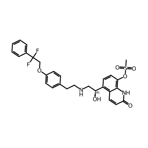 CS(=O)(=O)Oc1ccc([C@@H](O)CNCCc2ccc(OCC(F)(F)c3ccccc3)cc2)c2ccc(=O)[nH]c12